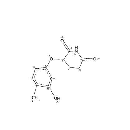 Cc1ccc(OC2CCC(=O)NC2=O)cc1O